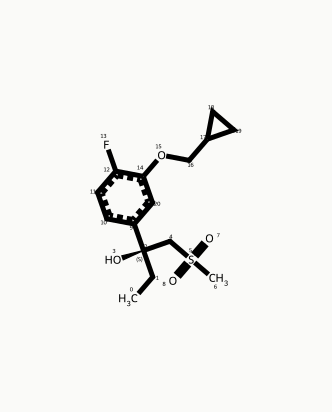 CC[C@@](O)(CS(C)(=O)=O)c1ccc(F)c(OCC2CC2)c1